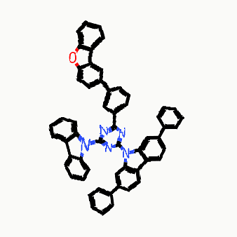 c1ccc(-c2ccc3c4ccc(-c5ccccc5)cc4n(-c4nc(-c5cccc(-c6ccc7oc8ccccc8c7c6)c5)nc(-n5c6ccccc6c6ccccc65)n4)c3c2)cc1